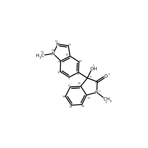 CN1C(=O)C(O)(c2ccc3c(cnn3C)c2)c2ccccc21